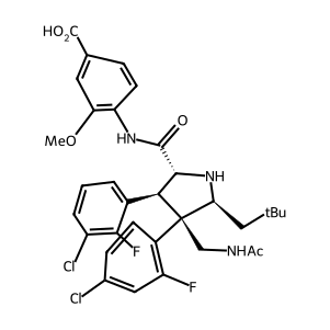 COc1cc(C(=O)O)ccc1NC(=O)[C@@H]1N[C@@H](CC(C)(C)C)[C@](CNC(C)=O)(c2ccc(Cl)cc2F)[C@H]1c1cccc(Cl)c1F